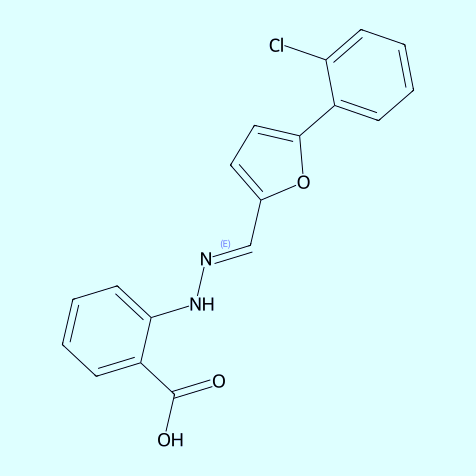 O=C(O)c1ccccc1N/N=C/c1ccc(-c2ccccc2Cl)o1